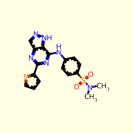 CN(C)S(=O)(=O)c1ccc(Nc2nc(-c3cccs3)nc3cn[nH]c23)cc1